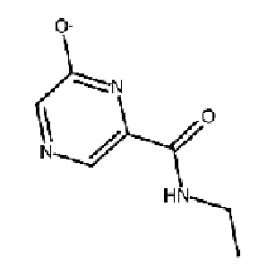 CCNC(=O)c1cncc([O])n1